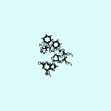 C#C[C@@]1(OC(C)=O)[C@@H](CO[Si](c2ccccc2)(c2ccccc2)C(C)(C)C)O[C@@H](n2cnc3c(N)nc(Cl)nc32)[C@@H]1OC(C)=O